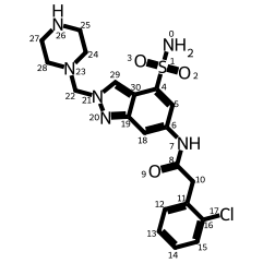 NS(=O)(=O)c1cc(NC(=O)Cc2ccccc2Cl)cc2nn(CN3CCNCC3)cc12